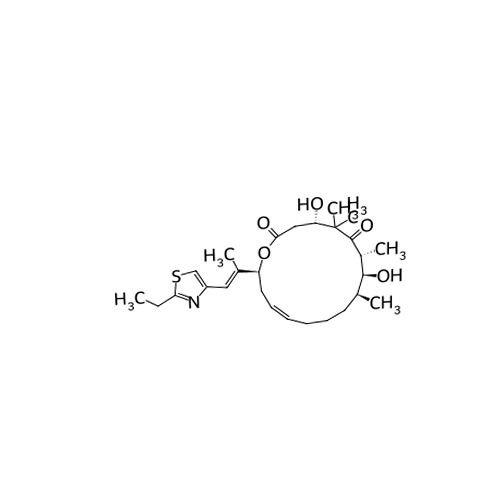 CCc1nc(/C=C(\C)[C@@H]2C/C=C\CCC[C@H](C)[C@H](O)[C@@H](C)C(=O)C(C)(C)[C@@H](O)CC(=O)O2)cs1